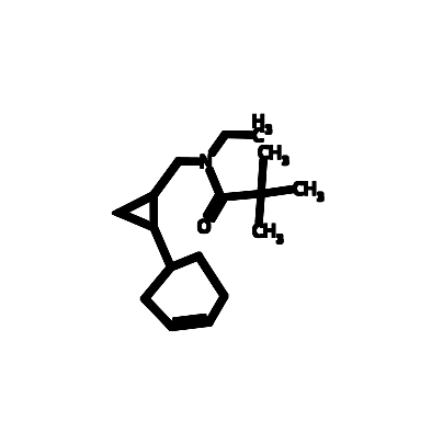 CCN(CC1CC1C1CC=CCC1)C(=O)C(C)(C)C